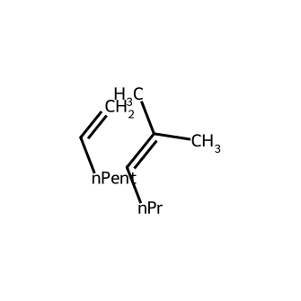 C=CCCCCC.CCCC=C(C)C